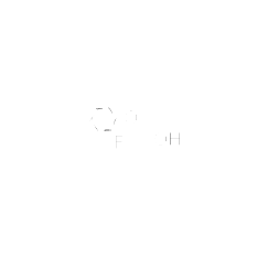 Cc1[c]cc(OCCO)c(F)c1